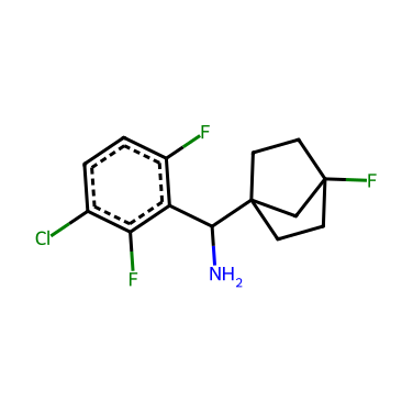 NC(c1c(F)ccc(Cl)c1F)C12CCC(F)(CC1)C2